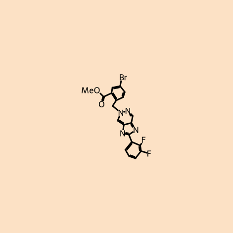 COC(=O)c1cc(Br)ccc1Cn1cc2nc(-c3cccc(F)c3F)nc-2cn1